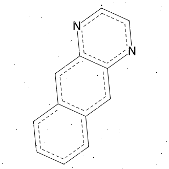 [c]1cnc2cc3ccccc3cc2n1